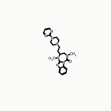 CN1CC(CCN2CCN(c3ncccn3)CC2)N(C)c2nc3ccccc3n2C1=O